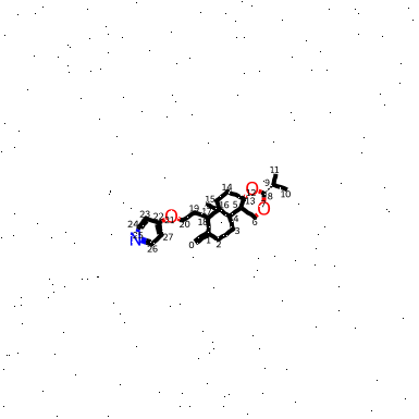 C=C1CCC2C3CO[C@@H](C(C)C)OC3CCC2(C)C1CCOc1ccncc1